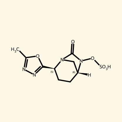 Cc1nnc([C@@H]2CC[C@@H]3CN2C(=O)N3OS(=O)(=O)O)o1